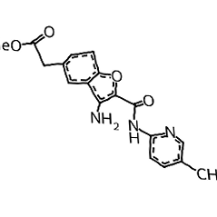 COC(=O)Cc1ccc2oc(C(=O)Nc3ccc(C)cn3)c(N)c2c1